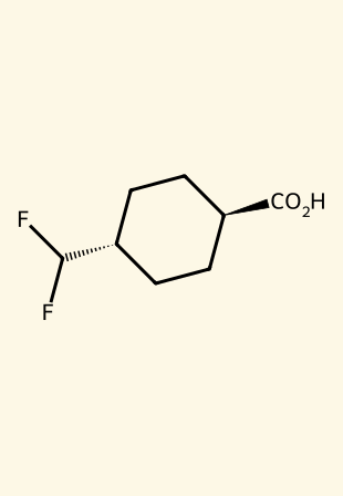 O=C(O)[C@H]1CC[C@H](C(F)F)CC1